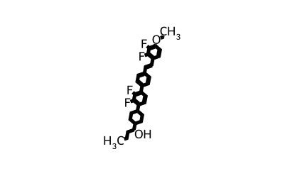 CCCC(O)C1CCC(c2ccc(-c3ccc(/C=C/c4ccc(OCC)c(F)c4F)cc3)c(F)c2F)CC1